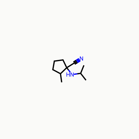 CC(C)NC1(C#N)CCCC1C